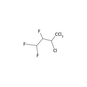 FC(F)C(F)C(Cl)C(Cl)(Cl)Cl